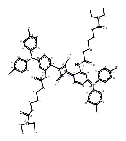 CCN(CC)C(=O)CCCCCC(=O)NC1=CC(=[N+](c2ccc(C)cc2)c2ccc(C)cc2)C=C/C1=C1\C(=O)C(c2ccc(N(c3ccc(C)cc3)c3ccc(C)cc3)cc2NC(=O)CCCCCC(=O)N(CC)CC)=C1[O-]